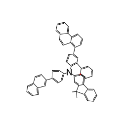 CC1(C)c2ccccc2-c2ccc(N(c3ccc(-c4ccc5ccccc5c4)cc3)c3ccc(-c4cccc5c4ccc4ccccc45)cc3-c3ccccc3)cc21